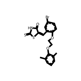 Cc1cccc(C)c1OCCOc1ccc(Br)cc1C=C1SC(=S)NC1=O